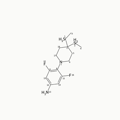 C[SiH2]C1([SiH2]C)CCN(c2c(F)cc(N)cc2F)CC1